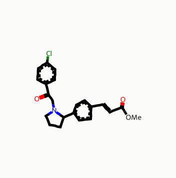 COC(=O)/C=C/c1ccc(C2CCCN2CC(=O)c2ccc(Cl)cc2)cc1